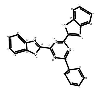 c1ccc(-c2nc(-c3nc4ccccc4o3)nc(-c3nc4ccccc4o3)n2)cc1